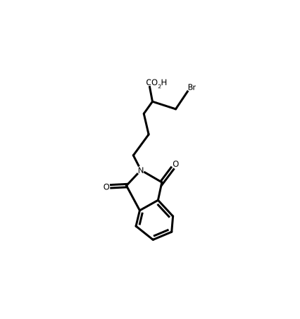 O=C(O)C(CBr)CCCN1C(=O)c2ccccc2C1=O